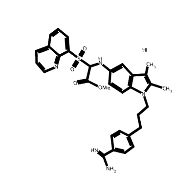 COC(=O)C(Nc1ccc2c(c1)c(C)c(C)n2CCCc1ccc(C(=N)N)cc1)S(=O)(=O)c1cccc2cccnc12.I